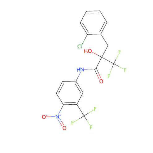 O=C(Nc1ccc([N+](=O)[O-])c(C(F)(F)F)c1)C(O)(Cc1ccccc1Cl)C(F)(F)F